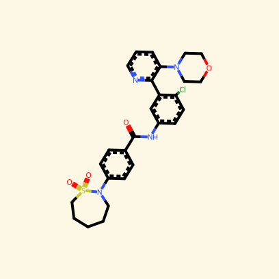 O=C(Nc1ccc(Cl)c(-c2ncccc2N2CCOCC2)c1)c1ccc(N2CCCCCS2(=O)=O)cc1